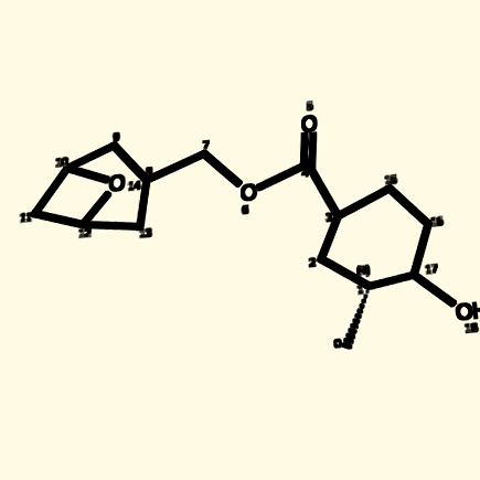 C[C@@H]1CC(C(=O)OCC2CC3CC(C2)O3)CCC1O